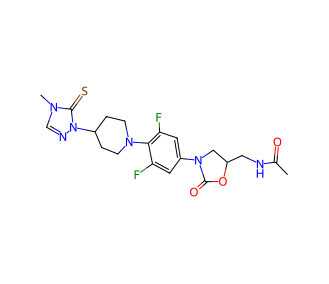 CC(=O)NCC1CN(c2cc(F)c(N3CCC(n4ncn(C)c4=S)CC3)c(F)c2)C(=O)O1